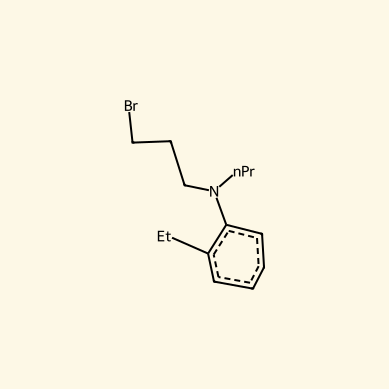 CCCN(CCCBr)c1ccccc1CC